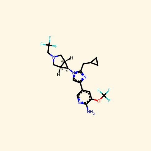 Nc1ncc(-c2cn([C@H]3[C@@H]4CN(CC(F)(F)F)C[C@@H]43)c(CC3CC3)n2)cc1OC(F)(F)F